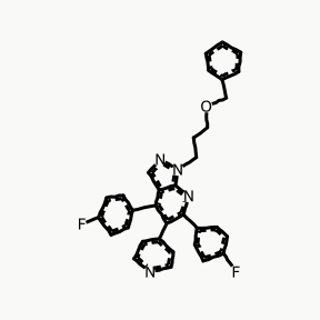 Fc1ccc(-c2nc3c(cnn3CCCOCc3ccccc3)c(-c3ccc(F)cc3)c2-c2ccncc2)cc1